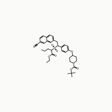 CCCC(C(=O)OCC)S(=O)(=O)N(Cc1ccc2ccc(C#N)cc2c1)c1ccc(OC2CCN(C(=O)OC(C)(C)C)CC2)cc1